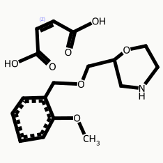 COc1ccccc1COCC1CNCCO1.O=C(O)/C=C\C(=O)O